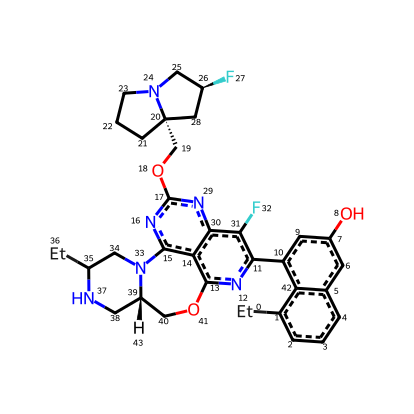 CCc1cccc2cc(O)cc(-c3nc4c5c(nc(OC[C@]67CCCN6C[C@@H](F)C7)nc5c3F)N3CC(CC)NC[C@H]3CO4)c12